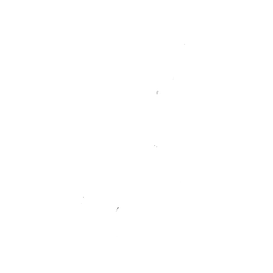 CC(C)(C)OC(=O)NCCC(=O)Nc1cccc(CO[C@H]2CCC[C@@H]2N)c1